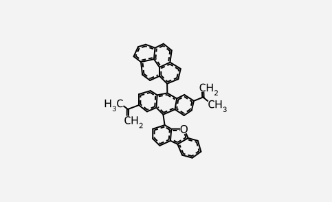 C=C(C)c1ccc2c(-c3cccc4c3oc3ccccc34)c3cc(C(=C)C)ccc3c(-c3ccc4ccc5cccc6ccc3c4c56)c2c1